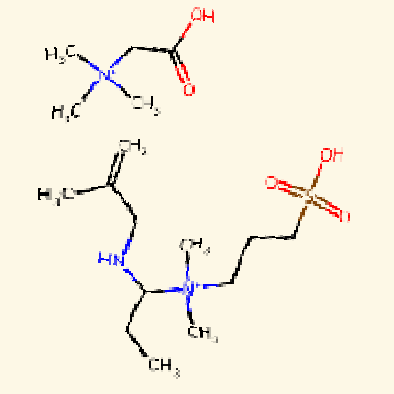 C=C(C)CNC(CC)[N+](C)(C)CCCS(=O)(=O)O.C[N+](C)(C)CC(=O)O